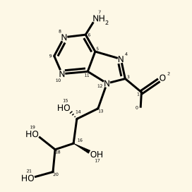 CC(=O)c1nc2c(N)ncnc2n1C[C@@H](O)[C@@H](O)C(O)CO